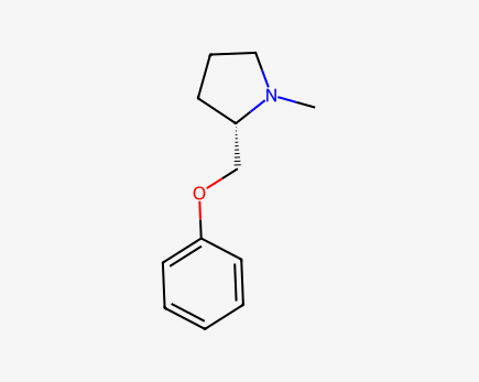 CN1CCC[C@H]1COc1ccccc1